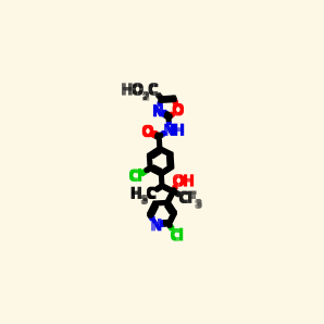 CC(c1ccc(C(=O)Nc2nc(C(=O)O)co2)cc1Cl)C(O)(c1ccnc(Cl)c1)C(F)(F)F